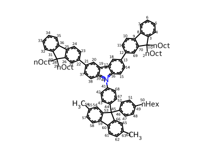 CCCCCCCCC1(CCCCCCCC)c2ccccc2-c2ccc(-c3ccc4c(c3)c3cc(-c5ccc6c(c5)C(CCCCCCCC)(CCCCCCCC)c5ccccc5-6)ccc3n4-c3ccc(C4(c5ccc(CCCCCC)cc5)c5cc(C)ccc5-c5ccc(C)cc54)cc3)cc21